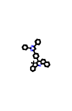 CC1(C)c2ccccc2-c2nc3c(ccc4ccccc43)c(-c3ccc(-c4cc(-c5ccccc5)nc(-c5ccccc5)n4)cc3)c21